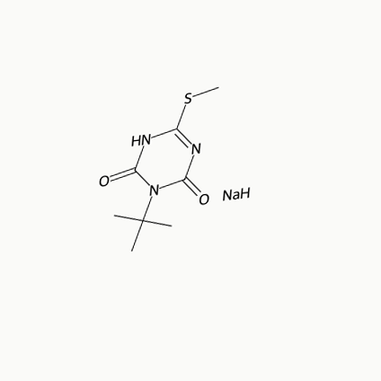 CSc1nc(=O)n(C(C)(C)C)c(=O)[nH]1.[NaH]